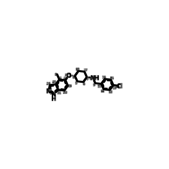 Cc1c(O[C@H]2CC[C@@H](NCc3ccc(Cl)cc3)CC2)ccc2[nH]ncc12